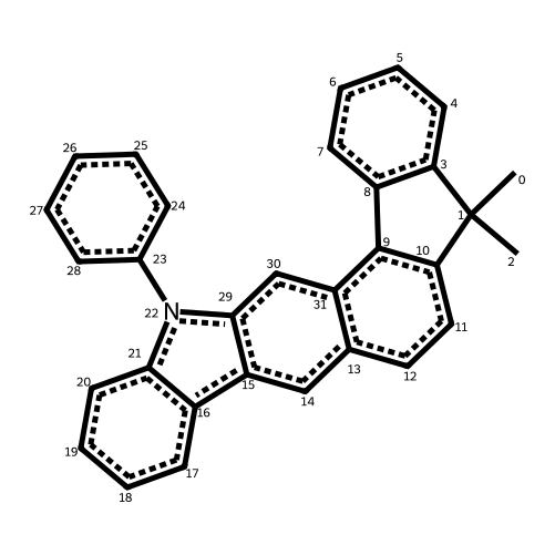 CC1(C)c2ccccc2-c2c1ccc1cc3c4ccccc4n(-c4ccccc4)c3cc21